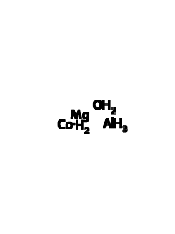 O.[AlH3].[Co].[MgH2]